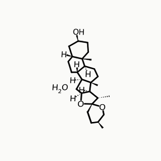 C[C@H]1CC[C@@]2(OC1)O[C@H]1C[C@H]3[C@@H]4CC[C@@H]5C[C@@H](O)CC[C@]5(C)[C@H]4CC[C@]3(C)[C@H]1[C@@H]2C.O